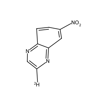 [2H]c1cnc2ccc([N+](=O)[O-])cc2n1